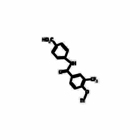 CCOc1ccc(C(=O)Nc2ccc(C(=O)O)cc2)cc1C(F)(F)F